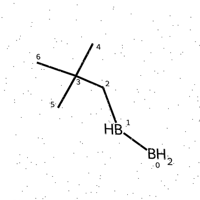 BBCC(C)(C)C